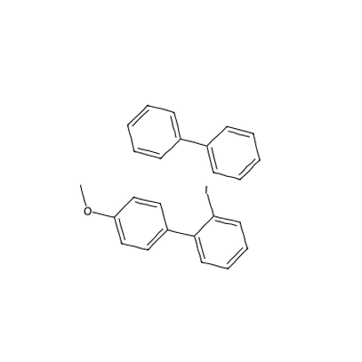 COc1ccc(-c2ccccc2I)cc1.c1ccc(-c2ccccc2)cc1